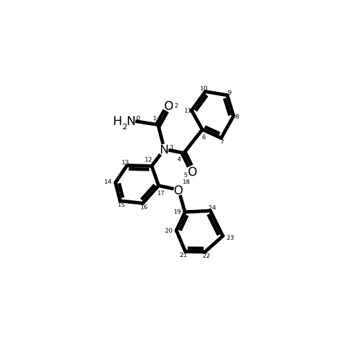 NC(=O)N(C(=O)c1ccccc1)c1ccccc1Oc1ccccc1